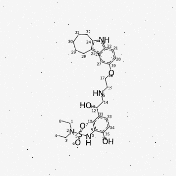 CCN(CC)S(=O)(=O)Nc1cc(C(O)CNCCOc2ccc3[nH]c4c(c3c2)CCCCC4)ccc1O